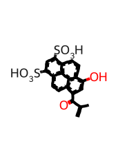 C=C(C)C(=O)c1cc(O)c2ccc3c(S(=O)(=O)O)cc(S(=O)(=O)O)c4ccc1c2c34